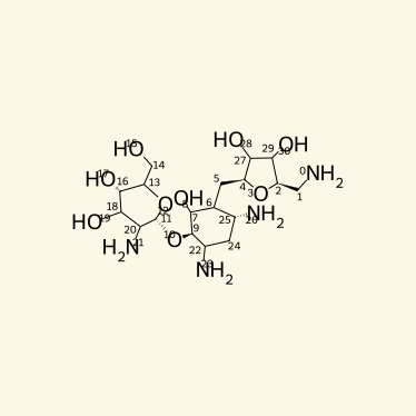 NC[C@H]1O[C@@H](CC2C(O)[C@H](O[C@H]3OC(CO)[C@@H](O)C(O)C3N)C(N)C[C@H]2N)C(O)C1O